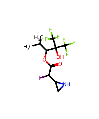 CC(C)C(OC(=O)C(I)C1CN1)C(O)(C(F)(F)F)C(F)(F)F